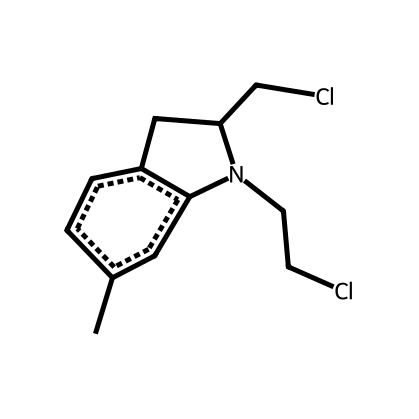 Cc1ccc2c(c1)N(CCCl)C(CCl)C2